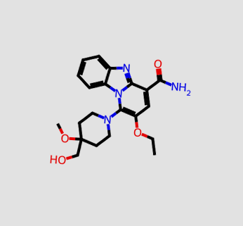 CCOc1cc(C(N)=O)c2nc3ccccc3n2c1N1CCC(CO)(OC)CC1